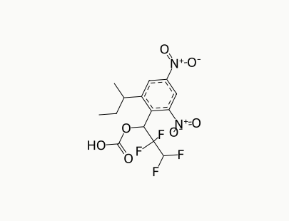 CCC(C)c1cc([N+](=O)[O-])cc([N+](=O)[O-])c1C(OC(=O)O)C(F)(F)C(F)F